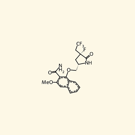 COc1cc2ccccc2c(OC[C@@H]2C[C@@](F)(CC(F)(F)F)C(=O)N2)c1C(N)=O